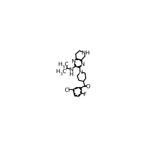 CC(C)Nc1nc2c(nc1N1CCC(C(=O)c3cc(Cl)ccc3F)CC1)CNCC2